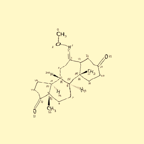 CON=C1C[C@@H]2[C@H](CC[C@]3(C)C(=O)CC[C@@H]23)[C@@]2(C)CCC(=O)CC12